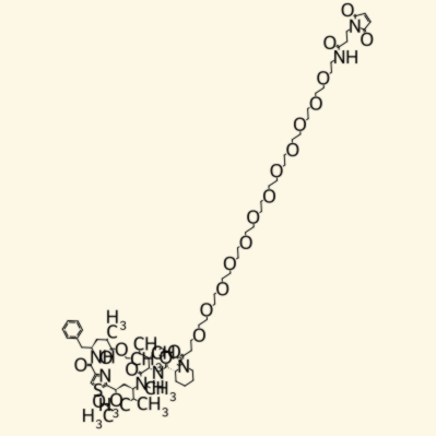 CCOC(=O)[C@@H](C)C[C@H](Cc1ccccc1)NC(=O)c1csc([C@@H](C[C@H](C(C)C)N(C)C(=O)[C@@H](NC(=O)[C@H]2CCCCN2C(=O)CCOCCOCCOCCOCCOCCOCCOCCOCCOCCOCCOCCOCCNC(=O)CCN2C(=O)C=CC2=O)[C@@H](C)CC)OC(C)=O)n1